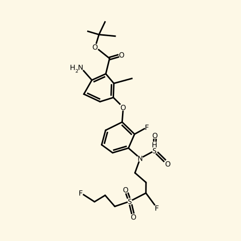 Cc1c(Oc2cccc(N(CCC(F)S(=O)(=O)CCCF)[SH](=O)=O)c2F)ccc(N)c1C(=O)OC(C)(C)C